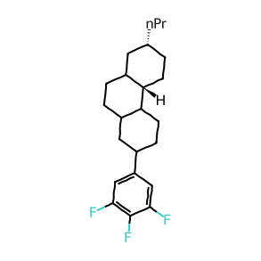 CCC[C@@H]1CC[C@H]2C(CCC3CC(c4cc(F)c(F)c(F)c4)CCC32)C1